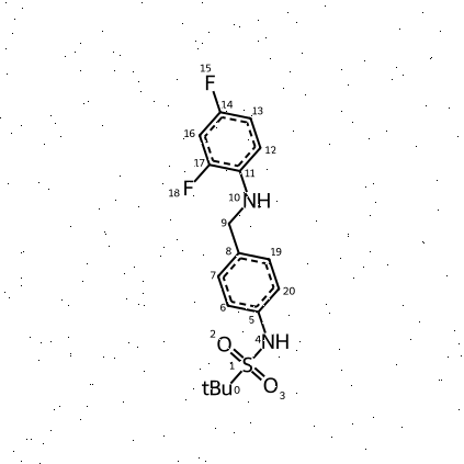 CC(C)(C)S(=O)(=O)Nc1ccc(CNc2ccc(F)cc2F)cc1